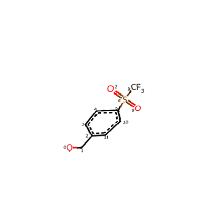 [O]Cc1ccc(S(=O)(=O)C(F)(F)F)cc1